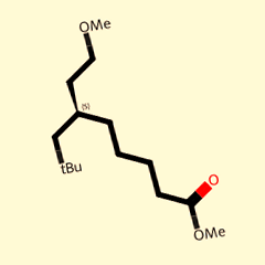 COCC[C@@H](CCCCC(=O)OC)CC(C)(C)C